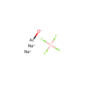 CC(=O)[O-].F[B-](F)(F)F.[Na+].[Na+]